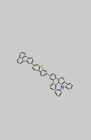 c1ccc(-n2c3ccccc3c3ccc4c5ccc(-c6ccc7c(c6)sc6cc(-c8ccc9c(c8)-c8cccc%10cccc-9c8%10)ccc67)cc5c5ccccc5c4c32)cc1